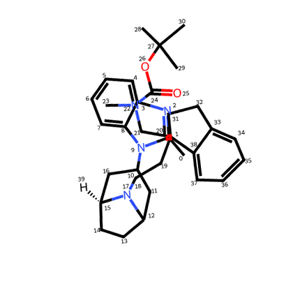 Cc1nc2ccccc2n1C1CC2CC[C@@H](C1)N2CCC1(CN(C)C(=O)OC(C)(C)C)CCc2ccccc21